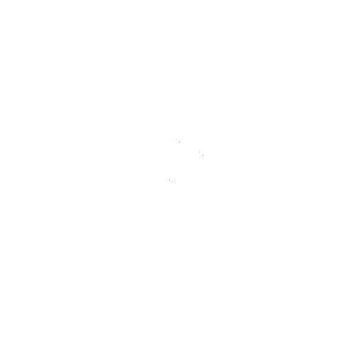 O=C(Nc1cnc(Cl)nc1Cl)C1CCC1